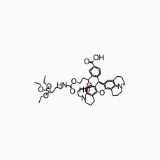 CCO[Si](CCCNC(=O)OCCC(OO)c1cc(C(=O)O)ccc1C1=c2cc3c4c(c2Oc2c1cc1c5c2CCCN5CCC1)CCC[N+]=4CCC3)(OCC)OCC